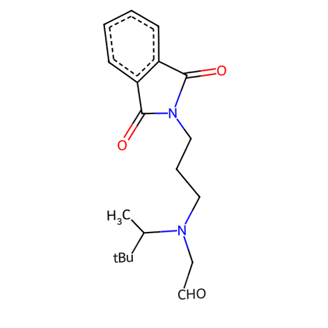 CC(N(CC=O)CCCN1C(=O)c2ccccc2C1=O)C(C)(C)C